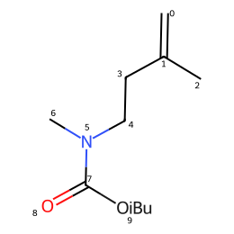 C=C(C)CCN(C)C(=O)OCC(C)C